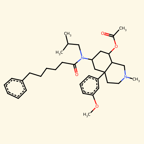 COc1cccc(C23CCN(C)CC2C(OC(C)=O)CC(N(CC(C)C)C(=O)CCCCCc2ccccc2)C3)c1